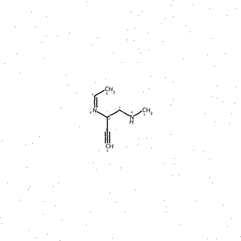 C#CC(CNC)/N=C\C